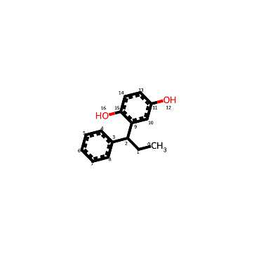 CCC(c1ccccc1)c1cc(O)ccc1O